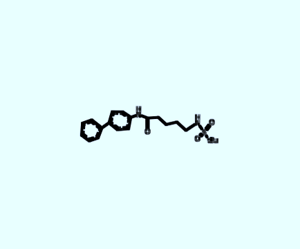 CC(C)(C)S(=O)(=O)NCCCCC(=O)Nc1ccc(-c2ccccc2)cc1